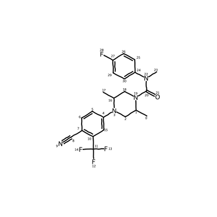 CC1CN(c2ccc(C#N)c(C(F)(F)F)c2)C(C)CN1C(=O)N(C)c1ccc(F)cc1